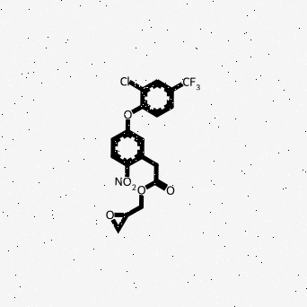 O=C(Cc1cc(Oc2ccc(C(F)(F)F)cc2Cl)ccc1[N+](=O)[O-])OCC1CO1